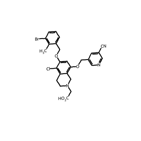 Cc1c(Br)cccc1COc1cc(OCc2cncc(C#N)c2)c2c(c1Cl)CCN(CC(=O)O)C2